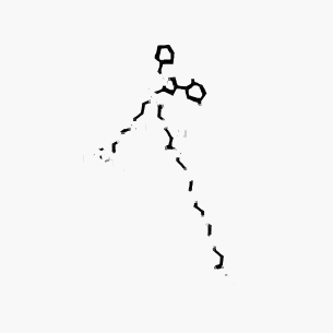 CC(C)(C)OC(=O)CCOCCOCCOCCOCCNC(=O)[C@@H](N)CSCC(=O)N(CCCNC(=O)OCC[Si](C)(C)C)[C@@H](c1cc(-c2cc(F)ccc2F)cn1Cc1ccccc1)C(C)(C)C